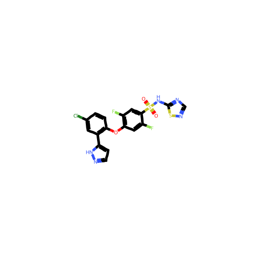 O=S(=O)(Nc1ncns1)c1cc(F)c(Oc2ccc(Cl)cc2-c2ccn[nH]2)cc1F